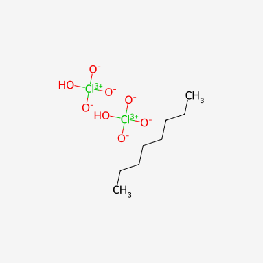 CCCCCCCC.[O-][Cl+3]([O-])([O-])O.[O-][Cl+3]([O-])([O-])O